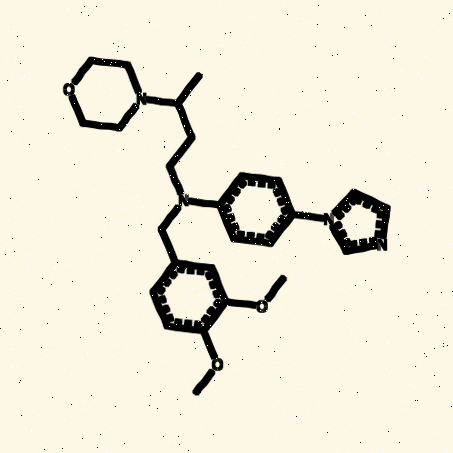 COc1ccc(CN(CCC(C)N2CCOCC2)c2ccc(-n3ccnc3)cc2)cc1OC